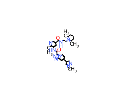 Cc1ncc(C(=O)NCCN2[C@H](C)CCC[C@@H]2C)cc1NC(=O)c1nnc2cc(-c3cnn(C)c3)ccn12